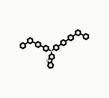 c1ccc(-c2cccc(-c3ccc(-c4ccc(-c5ccc(N(c6ccc(-c7ccc(-c8cccc(-c9ccccc9)c8)cc7)cc6)c6ccc7c(c6)oc6ccccc67)cc5)cc4)cc3)c2)cc1